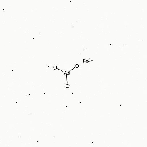 [Fe+3].[O-][As]([O-])[O-]